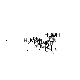 CC(C)c1cnc(-c2nnc3c(C(N)=O)cccn23)nc1NCc1cccc(B(O)O)c1